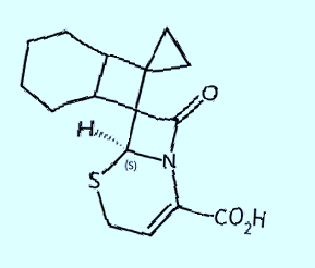 O=C(O)C1=CCS[C@@H]2N1C(=O)C21C2CCCCC2C12CC2